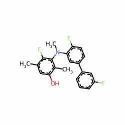 Cc1cc(O)c(C)c(N(C)c2cc(-c3cccc(F)c3)ccc2F)c1F